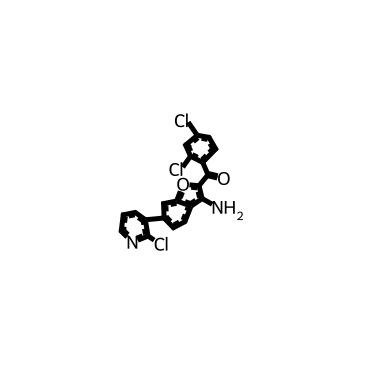 Nc1c(C(=O)c2ccc(Cl)cc2Cl)oc2cc(-c3cccnc3Cl)ccc12